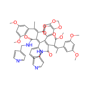 COC(=O)C(C(C(=O)NCc1ccncc1)=C(/C(=C(C(=O)Nc1ccncc1)/C(C(=O)OC)=C(\C)c1cc(OC)cc(OC)c1)c1ccc2c(c1)OCO2)c1ccccc1)=C(C)c1cc(OC)cc(OC)c1